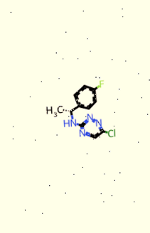 C[C@@H](Nc1ncc(Cl)nn1)c1ccc(F)cc1